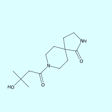 CC(C)(O)CC(=O)N1CCC2(CCNC2=O)CC1